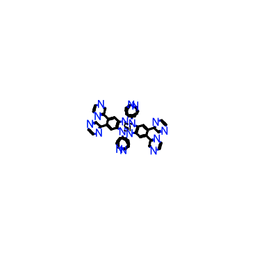 c1cc(N2c3cc(-c4cnccn4)c(-c4cnccn4)cc3N(c3ccncc3)[Si]23N(c2ccncc2)c2cc(-c4cnccn4)c(-c4cnccn4)cc2N3c2ccncc2)ccn1